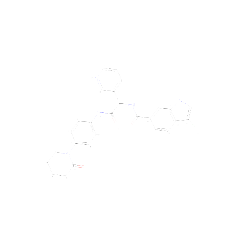 O=C(NC(C(=O)Nc1ccc(N2CCCCC2=O)cc1)c1cccnc1)c1ccc2c(Cl)c[nH]c2c1